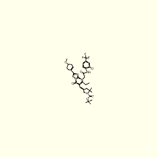 CCc1c(/C=C2/CN(C(=O)OC(C)(C)C)C(C)(C)C2)c(=O)n2nc(C3=CCC(OC)CC3)nc2n1CC(=O)Nc1ccc(C(F)(F)F)cc1Cl